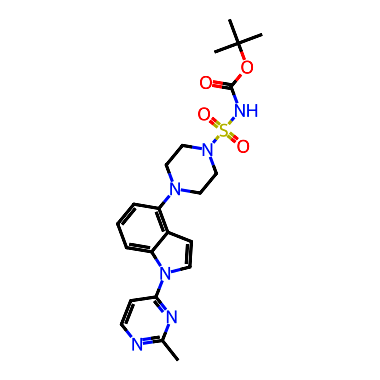 Cc1nccc(-n2ccc3c(N4CCN(S(=O)(=O)NC(=O)OC(C)(C)C)CC4)cccc32)n1